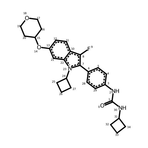 O=C(Nc1ccc(-c2c(F)c3ccc(OC4CCOCC4)cc3n2C2CCC2)cc1)NC1CCC1